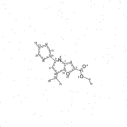 CCOC(=O)c1cc2nc(-c3ccc(C)cc3)cc(C(C)C)c2o1